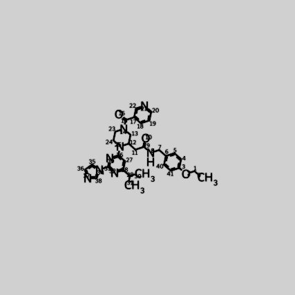 CCOc1ccc(CNC(=O)CC2CN(C(=O)c3cccnc3)CCN2c2cc(C(C)C)nc(-n3ccnc3)n2)cc1